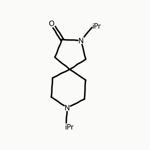 CC(C)N1CCC2(CC1)CC(=O)N(C(C)C)C2